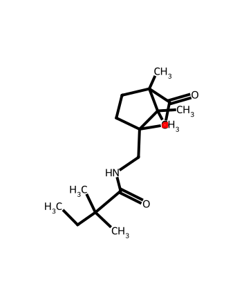 CCC(C)(C)C(=O)NCC12CCC(C)(C(=O)O1)C2(C)C